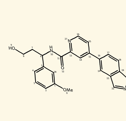 COc1cccc(C(CCO)NC(=O)c2cc(-c3ccc4[nH]ncc4c3)ccn2)c1